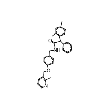 Cc1ccc(C(C(=O)NCc2ccc(OCc3cccnc3C)cc2)c2ccccc2)c(C)c1